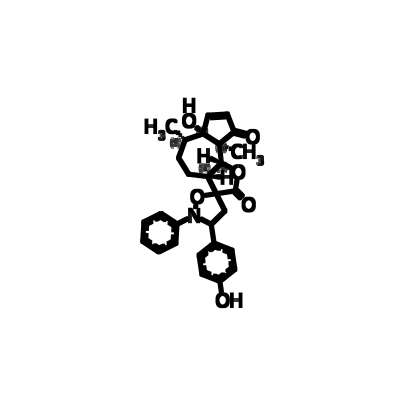 C[C@H]1CC[C@@H]2[C@@H](OC(=O)C23CC(c2ccc(O)cc2)N(c2ccccc2)O3)[C@]2(C)C(=O)C=C[C@@]12O